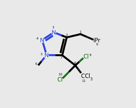 CC(C)Cc1nnn(C)c1C(Cl)(Cl)C(Cl)(Cl)Cl